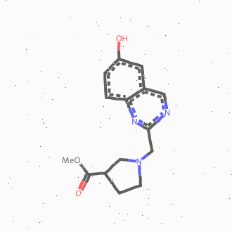 COC(=O)C1CCN(Cc2ncc3cc(O)ccc3n2)C1